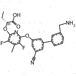 CC[C@@H](Oc1nc(Oc2cc(C#N)cc(-c3cccc(CN)c3)c2)c(F)c(C)c1F)C(=O)O